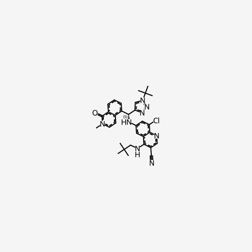 Cn1ccc2c([C@H](Nc3cc(Cl)c4ncc(C#N)c(NCC(C)(C)C)c4c3)c3cn(C(C)(C)C)nn3)cccc2c1=O